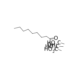 CC(=O)O.CC(=O)O.CC(=O)O.CCCCCCCCC(=O)O